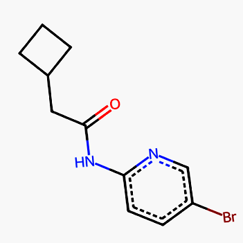 O=C(CC1CCC1)Nc1ccc(Br)cn1